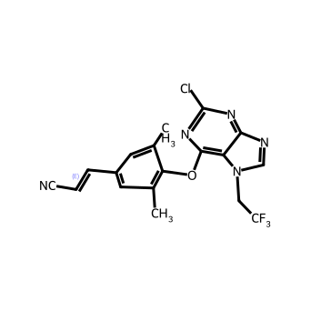 Cc1cc(/C=C/C#N)cc(C)c1Oc1nc(Cl)nc2ncn(CC(F)(F)F)c12